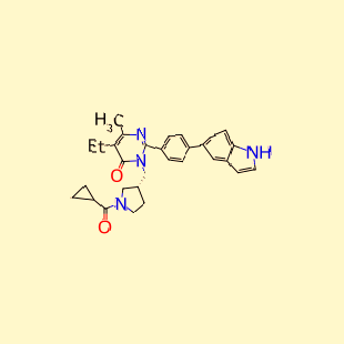 CCc1c(C)nc(-c2ccc(-c3ccc4[nH]ccc4c3)cc2)n(C[C@@H]2CCN(C(=O)C3CC3)C2)c1=O